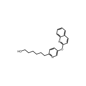 OCCCCCCc1ccc(Oc2ccc3ccccc3n2)cn1